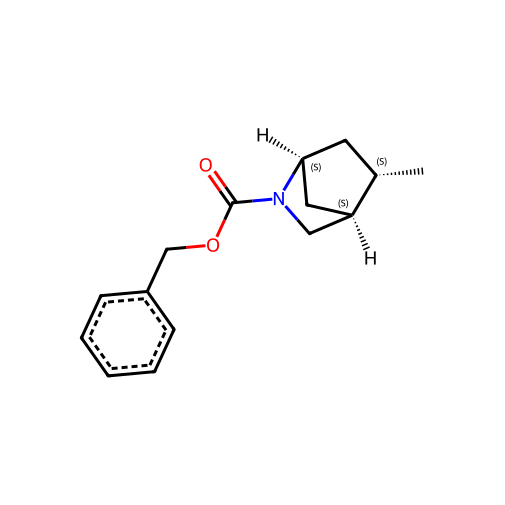 C[C@H]1C[C@H]2C[C@@H]1CN2C(=O)OCc1ccccc1